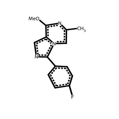 COc1nc(C)cn2c(-c3ccc(F)cc3)ncc12